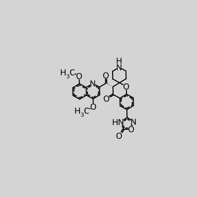 COc1cc(C(=O)[C@H]2C(=O)c3cc(-c4noc(=O)[nH]4)ccc3OC23CCNCC3)nc2c(OC)cccc12